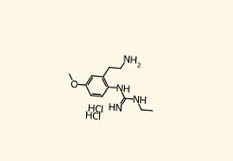 CCNC(=N)Nc1ccc(OC)cc1CCN.Cl.Cl